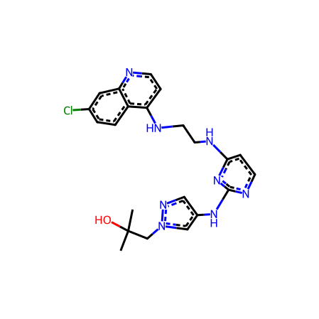 CC(C)(O)Cn1cc(Nc2nccc(NCCNc3ccnc4cc(Cl)ccc34)n2)cn1